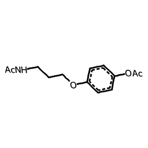 CC(=O)NCCCOc1ccc(OC(C)=O)cc1